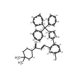 CC1(C)CCC(C(=O)/C=C/c2nc(F)ccc2-c2cn(C(c3ccccc3)(c3ccccc3)c3ccccc3)cn2)CC1